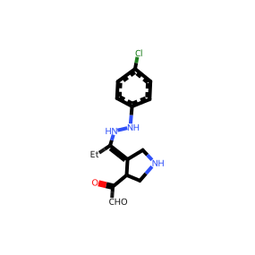 CCC(NNc1ccc(Cl)cc1)=C1CNCC1C(=O)C=O